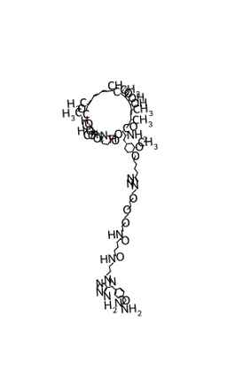 CO[C@H]1C[C@@H]2CC[C@@H](C)[C@@](O)(O2)C(=O)C(=O)N2CCCC[C@H]2C(=O)O[C@H]([C@H](N)C[C@@H]2CC[C@@H](OCCCCc3cn(CCOCCOCCOCCNC(=O)CCCC(=O)NCCCCn4nc(-c5ccc6oc(N)nc6c5)c5c(N)ncnc54)nn3)[C@H](OC)C2)CC(=O)[C@H](C)/C=C(\C)[C@@H](O)[C@@H](O)C(=O)[C@H](C)C[C@H](C)/C=C/C=C/C=C/1C